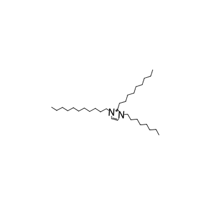 CCCCCCCCCCC[n+]1ccn(CCCCCCCC)c1CCCCCCCCC